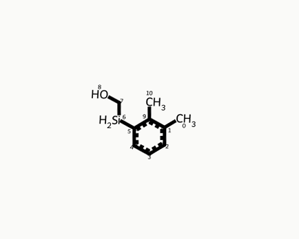 Cc1cccc([SiH2]CO)c1C